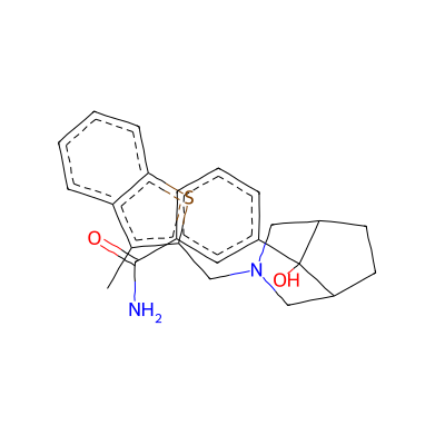 Cc1c(CN2CC3CCC(C2)C3(O)c2cccc(C(N)=O)c2)sc2ccccc12